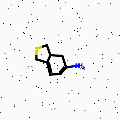 NC1=CC=C2CSCC2C1